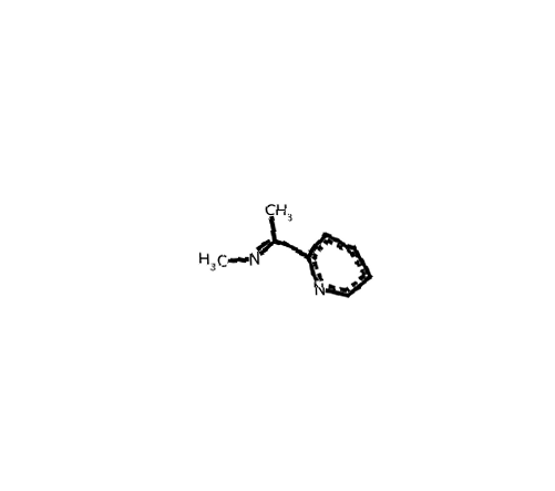 CN=C(C)c1ccccn1